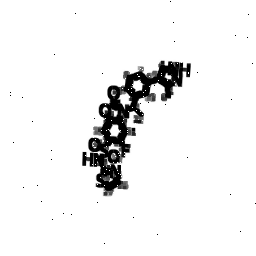 Cc1n[nH]cc1-c1cccc([C@@H](C)n2c(=O)oc3cc(S(=O)(=O)Nc4nccs4)c(F)cc32)c1